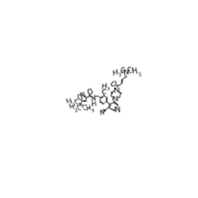 Cc1cc(-c2c(C#N)cncc2N2CCN(C(=O)C=CCN(C)C)CC2)ccc1CNC(=O)c1cc(C(C)(C)C)on1